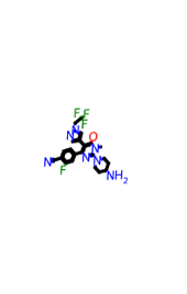 Cn1c(N2CCC(N)CC2)nc(-c2ccc(C#N)c(F)c2)c(-c2cnn(CC(F)(F)F)c2)c1=O